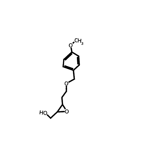 COc1ccc(COCCC2OC2CO)cc1